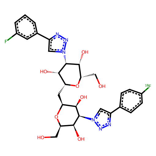 OC[C@@H]1O[C@H](C[C@@H]2O[C@H](CO)[C@H](O)[C@H](n3cc(-c4ccc([18F])cc4)nn3)[C@@H]2O)[C@H](O)[C@H](n2cc(-c3cccc(F)c3)nn2)[C@@H]1O